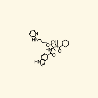 CC(NC(=O)c1ccc2[nH]ncc2c1)(NC(=O)C1CCCCC1)C(=O)OCCCNc1ccccn1